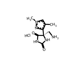 Cc1cn(C)nc1[C@@]1(CN)NC(=O)NC1=O.Cl